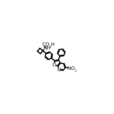 O=C(O)NC1(c2ccc(-c3oc4ncc([N+](=O)[O-])cc4c3-c3ccccc3)cc2)CCC1